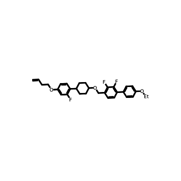 C=CCCOc1ccc(C2CCC(OCc3ccc(-c4ccc(OCC)cc4)c(F)c3F)CC2)c(F)c1